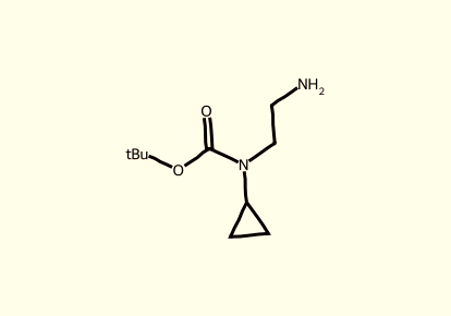 CC(C)(C)OC(=O)N(CCN)C1CC1